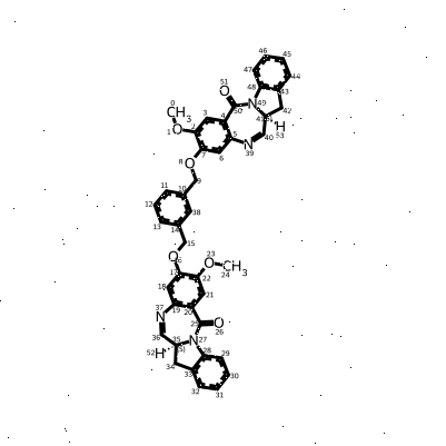 COc1cc2c(cc1OCc1cccc(COc3cc4c(cc3OC)C(=O)N3c5ccccc5C[C@H]3C=N4)c1)N=C[C@@H]1Cc3ccccc3N1C2=O